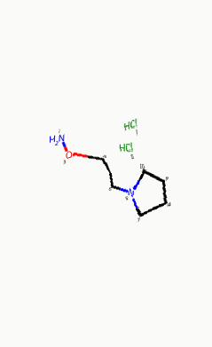 Cl.Cl.NOCCN1CCCC1